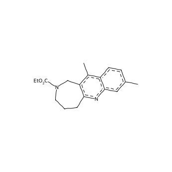 CCOC(=O)N1CCCc2nc3cc(C)ccc3c(C)c2C1